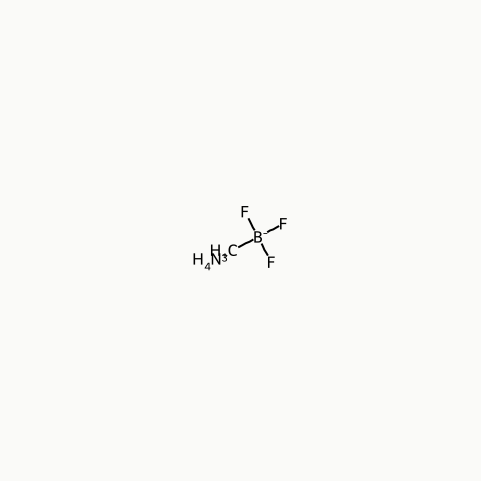 C[B-](F)(F)F.[NH4+]